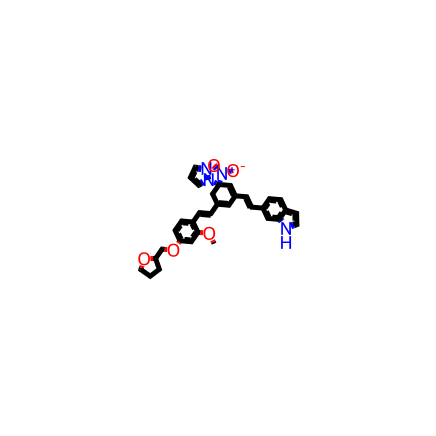 COc1cc(OCC2CCCO2)ccc1C=CC1=CC(C=Cc2ccc3cc[nH]c3c2)=CC(n2cccn2)([N+](=O)[O-])C1